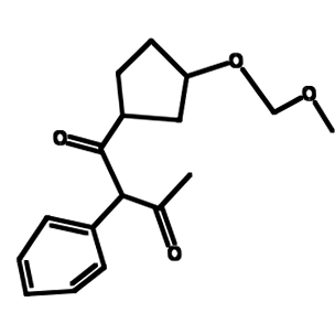 COCOC1CCC(C(=O)C(C(C)=O)c2ccccc2)C1